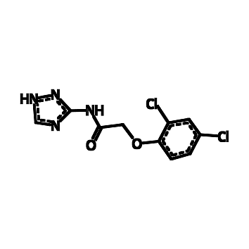 O=C(COc1ccc(Cl)cc1Cl)Nc1nc[nH]n1